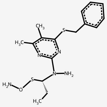 CC[C@H](SON)N(N)c1nc(C)c(C)c(SCc2ccccc2)n1